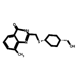 Cc1cccc2c(=O)[nH]c(CS[C@H]3CC[C@@H](CO)CC3)nc12